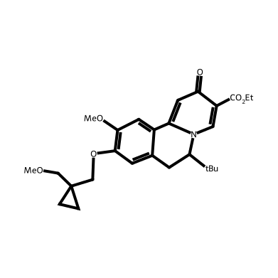 CCOC(=O)c1cn2c(cc1=O)-c1cc(OC)c(OCC3(COC)CC3)cc1CC2C(C)(C)C